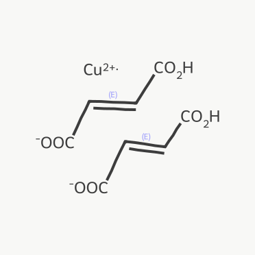 O=C([O-])/C=C/C(=O)O.O=C([O-])/C=C/C(=O)O.[Cu+2]